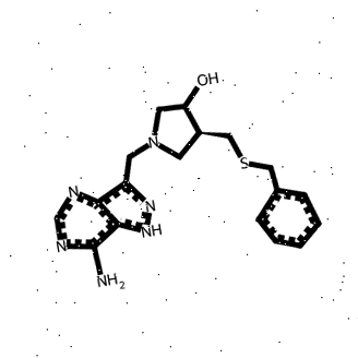 Nc1ncnc2c(CN3CC(O)[C@@H](CSCc4ccccc4)C3)n[nH]c12